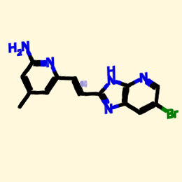 Cc1cc(N)nc(/C=C/c2nc3cc(Br)cnc3[nH]2)c1